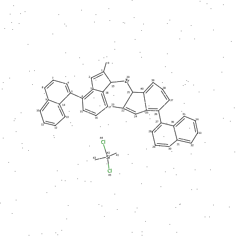 CC1=Cc2c(-c3cccc4ccccc34)cccc2[CH]1[Zr][CH]1C(C)=Cc2c(-c3cccc4ccccc34)cccc21.C[Si](C)(Cl)Cl